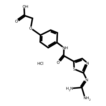 Cl.NC(N)=Nc1ncc(C(=O)Nc2ccc(OCC(=O)O)cc2)s1